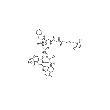 CC[C@@]1(O)C(=O)OCc2c1cc1c3nc4cc(F)c(C)c5c4c4c3c(n1c2=O)=C([C@@H](OCNC(=O)CNC(=O)[C@H](Cc1ccccc1)NC(=O)CNC(=O)CNC(=O)CCCCCN1C(=O)C=CC1=O)C1CC1)N[C@H]4CC5